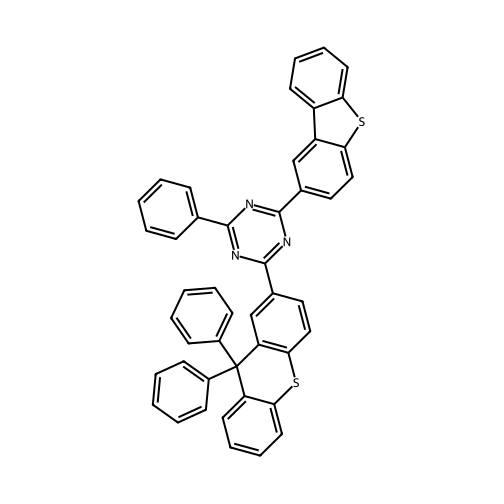 c1ccc(-c2nc(-c3ccc4c(c3)C(c3ccccc3)(c3ccccc3)c3ccccc3S4)nc(-c3ccc4sc5ccccc5c4c3)n2)cc1